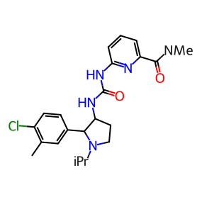 CNC(=O)c1cccc(NC(=O)NC2CCN(C(C)C)C2c2ccc(Cl)c(C)c2)n1